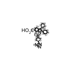 Cn1cnnc1C1CCN(C(=O)Cn2c(-c3ccccc3)c(C3CCCCC3)c3ccc(C(=O)O)cc32)CC1